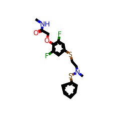 CNC(=O)COc1c(F)cc(SCCN(C)Sc2ccccc2)cc1F